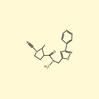 CN(Cc1cc(-c2ccccc2)no1)C(=O)C1CCN(C#N)C1I